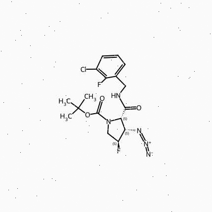 CC(C)(C)OC(=O)N1C[C@H](F)[C@@H](N=[N+]=[N-])[C@H]1C(=O)NCc1cccc(Cl)c1F